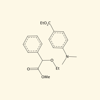 CCOC(=O)c1ccc(N(C)C)cc1.CCOC(C(=O)OC)c1ccccc1